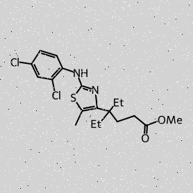 CCC(CC)(CCC(=O)OC)c1nc(Nc2ccc(Cl)cc2Cl)sc1C